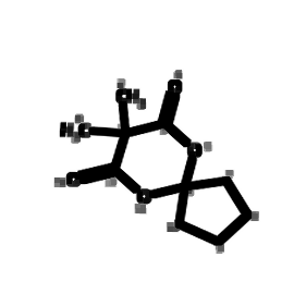 CC1(C)C(=O)OC2(CCCC2)OC1=O